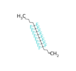 C=CCCC(F)(F)C(F)(F)C(F)(F)C(F)(F)C(F)(F)C(F)(F)C(F)(F)C(F)(F)CCCCC